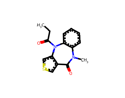 CCC(=O)N1c2cscc2C(=O)N(C)c2ccccc21